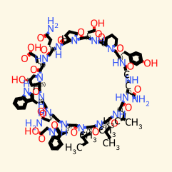 CCCC[C@H]1C(=O)N(C)[C@@H](CCCC)C(=O)N[C@@H](CC(C)C)C(=O)N[C@H](C(N)=O)CNCC(=O)N[C@@H](Cc2ccc(O)cc2)C(=O)N2CCCC[C@H]2C(=O)N[C@@H](CC(=O)O)C(=O)N2CCC[C@H]2C(=O)N[C@@H](CCC(N)=O)C(=O)N[C@@H](CCC(=O)O)C(=O)N2C[C@H](O)C[C@H]2C(=O)N[C@@H](Cc2c[nH]c3ccccc23)C(=O)N[C@@H](CC(N)=O)C(=O)N[C@@H](Cc2cn(CC(=O)O)c3ccccc23)C(=O)N1C